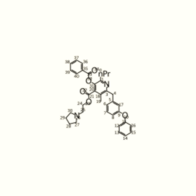 CCCc1nc(Cc2cccc(Oc3ccccc3)c2)c(C)c(C(=O)OCCN2CCCC2)c1OC(=O)c1ccccc1